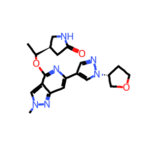 CC(Oc1nc(-c2cnn([C@@H]3CCOC3)c2)cc2nn(C)cc12)[C@H]1CNC(=O)C1